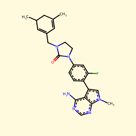 CC1=CC(CN2CCN(c3ccc(-c4cn(C)c5ncnc(N)c45)c(F)c3)C2=O)=CC(C)C1